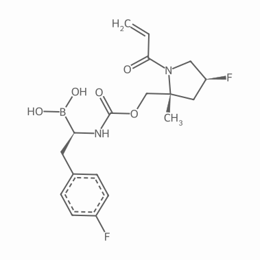 C=CC(=O)N1C[C@@H](F)C[C@]1(C)COC(=O)N[C@@H](Cc1ccc(F)cc1)B(O)O